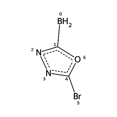 Bc1nnc(Br)o1